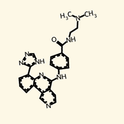 CN(C)CCNC(=O)c1ccc(Nc2nc3c(-c4nnc[nH]4)cccc3c3cnccc23)cc1